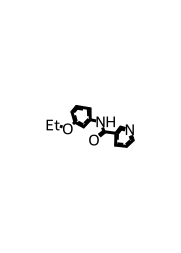 CCOc1cccc(NC(=O)c2cccnc2)c1